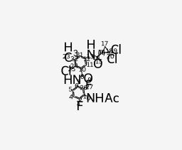 CC(=O)Nc1c(F)ccc(NC(=O)c2cc(NC(=O)[C@H]3CC3(Cl)Cl)cc(C)c2Cl)c1F